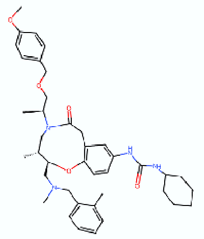 COc1ccc(COC[C@H](C)N2C[C@@H](C)[C@H](CN(C)Cc3ccccc3C)Oc3ccc(NC(=O)NC4CCCCC4)cc3CC2=O)cc1